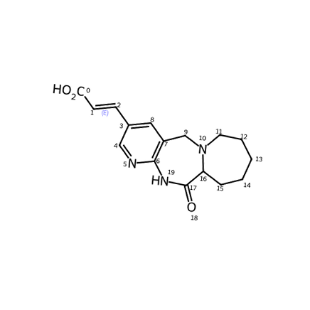 O=C(O)/C=C/c1cnc2c(c1)CN1CCCCCC1C(=O)N2